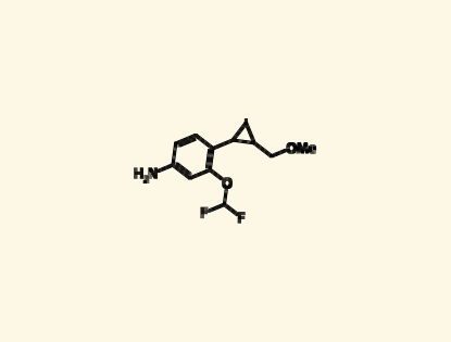 COCC1[CH]C1c1ccc(N)cc1OC(F)F